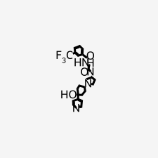 O=C(CNC(=O)c1cccc(C(F)(F)F)c1)N[C@@H]1CCN(C2CCC(O)(c3ccncc3)CC2)C1